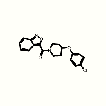 O=C(c1onc2ccccc12)N1CCC(Oc2ccc(Cl)cc2)CC1